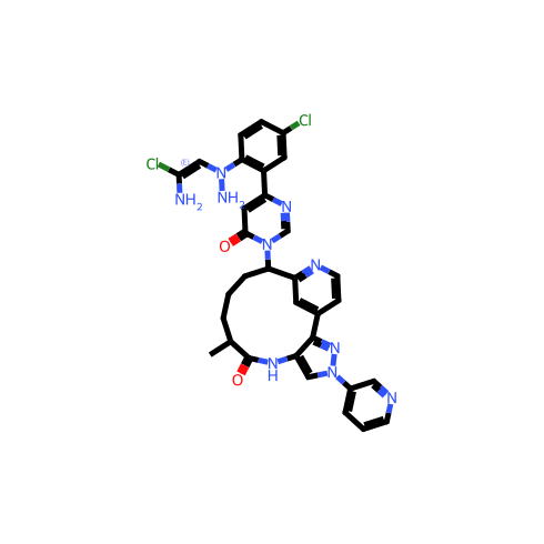 CC1CCCC(n2cnc(-c3cc(Cl)ccc3N(N)/C=C(\N)Cl)cc2=O)c2cc(ccn2)-c2nn(-c3cccnc3)cc2NC1=O